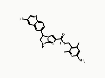 Cc1cc(N)nc(C)c1CNC(=O)c1cn2c(n1)NCC2c1ccc2ncc(Cl)cc2c1